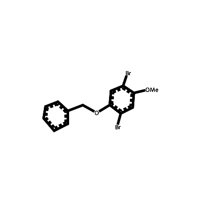 COc1cc(Br)c(OCc2ccccc2)cc1Br